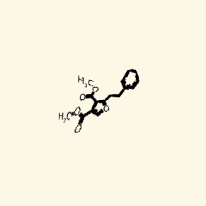 COC(=O)c1coc(CCc2ccccc2)c1C(=O)OC